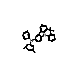 Cc1cc(C)cc(N(c2ccccc2)c2ccc3c(c2)c2cccc4c2n3-c2ccccc2C4(C)C)c1